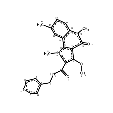 COc1c(C(=O)NCc2ccncc2)n(C)c2c1c(=O)n(C)c1ccc(C)cc21